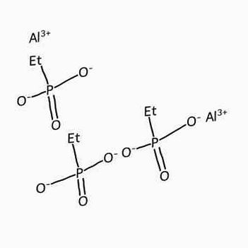 CCP(=O)([O-])[O-].CCP(=O)([O-])[O-].CCP(=O)([O-])[O-].[Al+3].[Al+3]